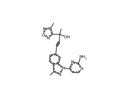 Cc1nonc1C(C)(O)C#Cc1ccc2c(C)nn(-c3ccnc(N)n3)c2c1